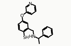 CC(NCc1cc(Oc2cccnc2)ccc1S)c1ccccc1